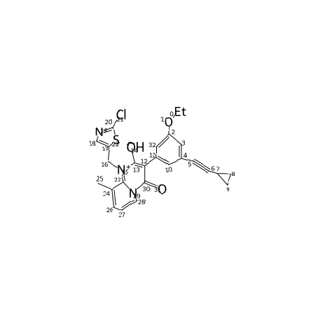 CCOc1cc(C#CC2CC2)cc(-c2c(O)[n+](Cc3cnc(Cl)s3)c3c(C)cccn3c2=O)c1